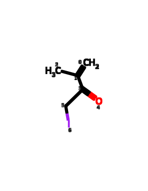 C=C(C)C(=O)CI